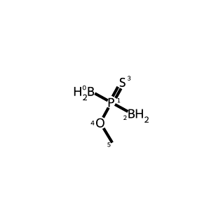 BP(B)(=S)OC